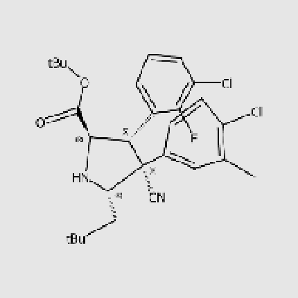 Cc1cc([C@@]2(C#N)[C@H](CC(C)(C)C)N[C@@H](C(=O)OC(C)(C)C)[C@@H]2c2cccc(Cl)c2F)ccc1Cl